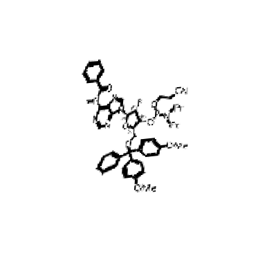 COc1ccc(C(OC[C@H]2O[C@@H](n3cnc4c(N(C)C(=O)c5ccccc5)ncnc43)[C@H](F)[C@@H]2OP(OCCC#N)N(C(C)C)C(C)C)(c2ccccc2)c2ccc(OC)cc2)cc1